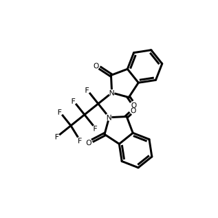 O=C1c2ccccc2C(=O)N1C(F)(N1C(=O)c2ccccc2C1=O)C(F)(F)C(F)(F)F